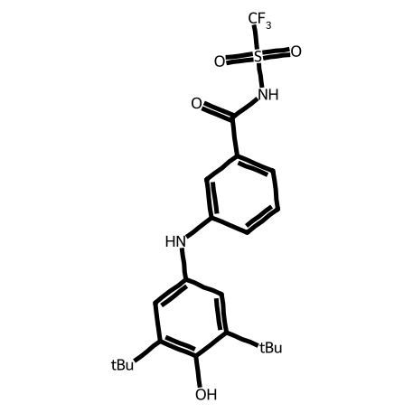 CC(C)(C)c1cc(Nc2cccc(C(=O)NS(=O)(=O)C(F)(F)F)c2)cc(C(C)(C)C)c1O